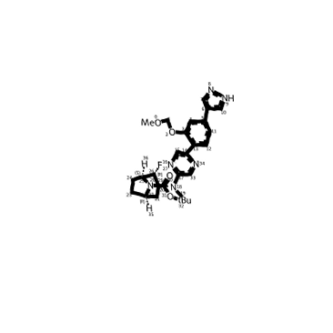 COCOc1cc(-c2cn[nH]c2)ccc1-c1cnc(N(C)[C@@H]2C[C@H]3CC[C@@H]([C@@H]2F)N3C(=O)OC(C)(C)C)cn1